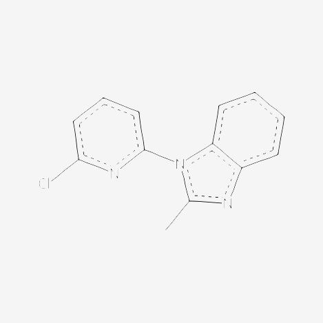 Cc1nc2ccccc2n1-c1cccc(Cl)n1